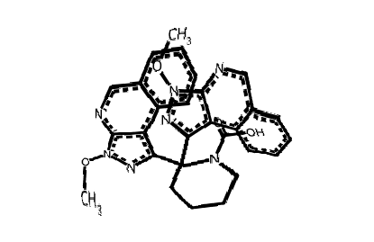 COn1nc(C2(c3nn(OC)c4ncc5ccccc5c34)CCCCN2C(=O)O)c2c3ccccc3cnc21